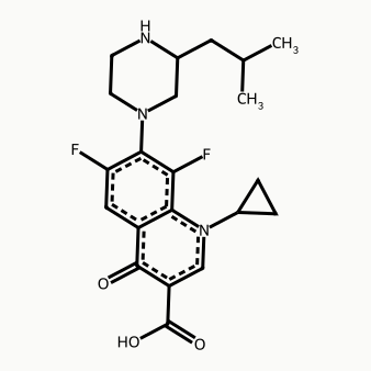 CC(C)CC1CN(c2c(F)cc3c(=O)c(C(=O)O)cn(C4CC4)c3c2F)CCN1